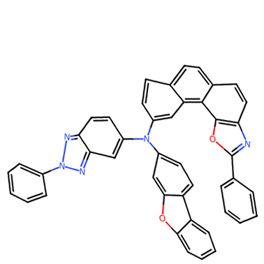 c1ccc(-c2nc3ccc4ccc5ccc(N(c6ccc7nn(-c8ccccc8)nc7c6)c6ccc7c(c6)oc6ccccc67)cc5c4c3o2)cc1